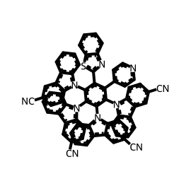 N#Cc1ccc2c(c1)c1ccccc1n2-c1c(-c2ccncc2)c(-c2nc3ccccc3s2)c(-n2c3ccccc3c3cc(C#N)ccc32)c(-n2c3ccccc3c3cc(C#N)ccc32)c1-n1c2ccccc2c2cc(C#N)ccc21